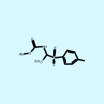 CCOC(=O)C(NC(=O)OC(C)(C)C)S(=O)(=O)c1ccc(C)cc1